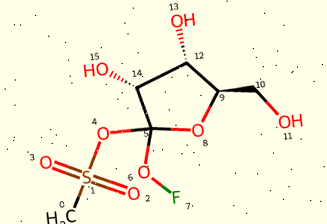 CS(=O)(=O)OC1(OF)O[C@H](CO)[C@@H](O)[C@H]1O